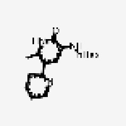 CCCCCCNc1cc(-c2ccccn2)c(C)[nH]c1=O